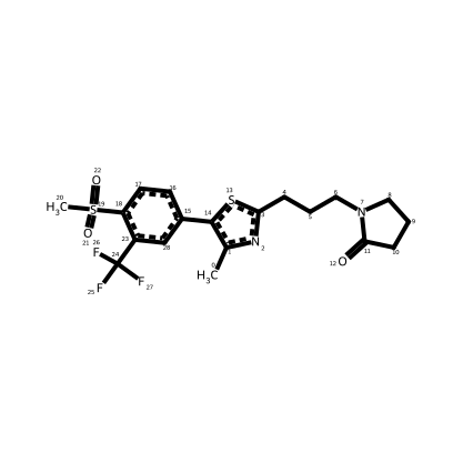 Cc1nc(CC[CH]N2CCCC2=O)sc1-c1ccc(S(C)(=O)=O)c(C(F)(F)F)c1